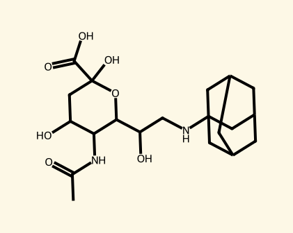 CC(=O)NC1C(O)CC(O)(C(=O)O)OC1C(O)CNC12CC3CC(CC(C3)C1)C2